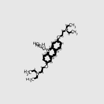 CCN(CC)CCOc1ccc2nc3cc(OCCN(CC)CC)ccc3cc2c1.Cl.Cl.Cl